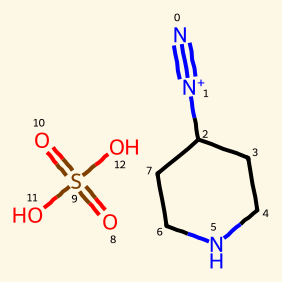 N#[N+]C1CCNCC1.O=S(=O)(O)O